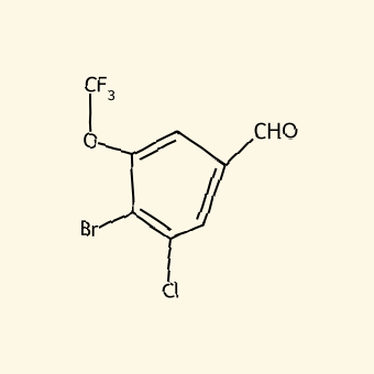 O=Cc1cc(Cl)c(Br)c(OC(F)(F)F)c1